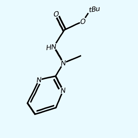 CN(NC(=O)OC(C)(C)C)c1ncccn1